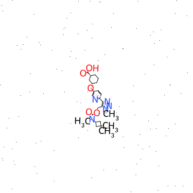 CN(C(=O)OCc1c(-c2ccc(O[C@H]3CCC[C@H](C(=O)O)C3)cn2)nnn1C)C1CC(C)(C)C1